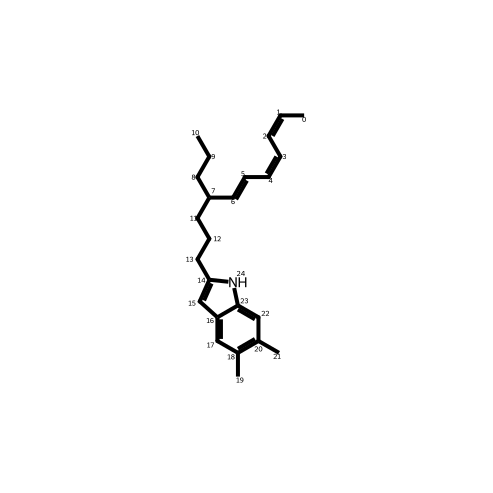 C\C=C/C=C\C=C\C(CCC)CCCc1cc2cc(C)c(C)cc2[nH]1